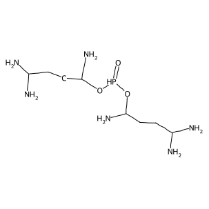 NC(N)CCC(N)O[PH](=O)OC(N)CCC(N)N